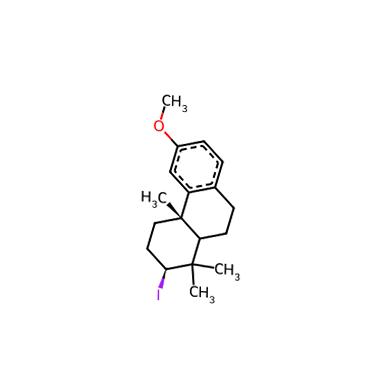 COc1ccc2c(c1)[C@@]1(C)CC[C@H](I)C(C)(C)C1CC2